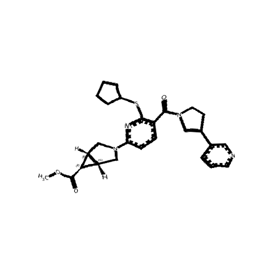 COC(=O)[C@H]1[C@@H]2CN(c3ccc(C(=O)N4CCC(c5cccnc5)C4)c(SC4CCCC4)n3)C[C@@H]21